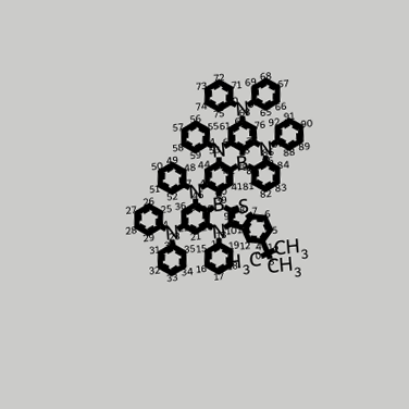 CC(C)(C)c1ccc2sc3c(c2c1)N(c1ccccc1)c1cc(N(c2ccccc2)c2ccccc2)cc2c1B3c1cc3c(cc1N2c1ccccc1)N(c1ccccc1)c1cc(N(c2ccccc2)c2ccccc2)cc2c1B3c1ccccc1N2c1ccccc1